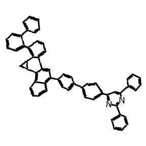 c1ccc(-c2cc(-c3ccc(-c4ccc(-c5cc6c(c7ccccc57)C5CC5c5c(-c7ccccc7-c7ccccc7)cccc5-6)cc4)cc3)nc(-c3ccccc3)n2)cc1